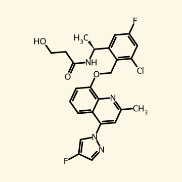 Cc1cc(-n2cc(F)cn2)c2cccc(OCc3c(Cl)cc(F)cc3[C@H](C)NC(=O)CCO)c2n1